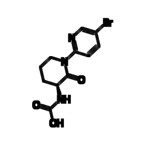 O=C(O)N[C@H]1CCCN(c2ccc(Br)cn2)C1=O